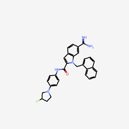 N=C(N)c1ccc2cc(C(=O)Nc3ccc(N4CCC(F)C4)cc3)n(Cc3cccc4ccccc34)c2c1